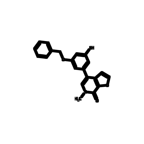 Cn1cc(-c2cc(S)cc(OCc3ccccc3)c2)c2ccoc2c1=O